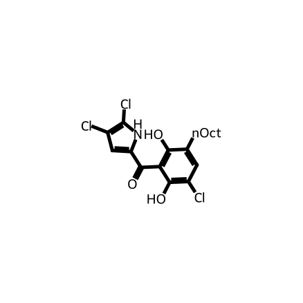 CCCCCCCCc1cc(Cl)c(O)c(C(=O)c2cc(Cl)c(Cl)[nH]2)c1O